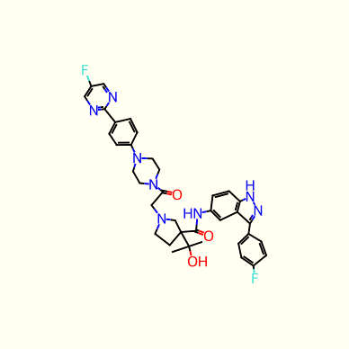 CC(C)(O)C1(C(=O)Nc2ccc3[nH]nc(-c4ccc(F)cc4)c3c2)CCN(CC(=O)N2CCN(c3ccc(-c4ncc(F)cn4)cc3)CC2)C1